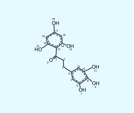 O=C(CCc1cc(O)c(O)c(O)c1)c1c(O)cc(O)cc1O